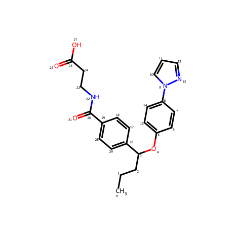 CCCC(Oc1ccc(-n2cccn2)cc1)c1ccc(C(=O)NCCC(=O)O)cc1